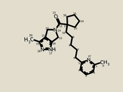 Cc1cccc(CCCCCC2(C(=O)N3Cc4[nH]nc(C)c4C3)CCCC2)n1